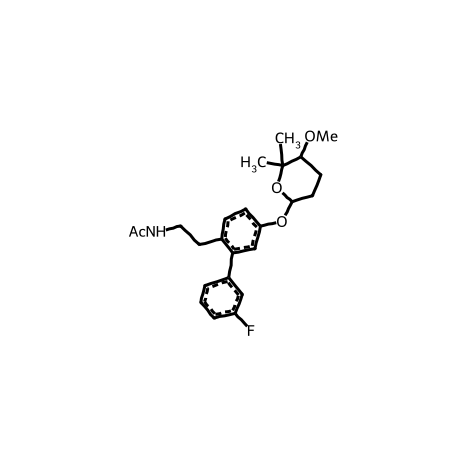 COC1CCC(Oc2ccc(CCNC(C)=O)c(-c3cccc(F)c3)c2)OC1(C)C